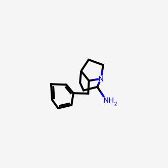 NC1CCC2CCN1C2Cc1ccccc1